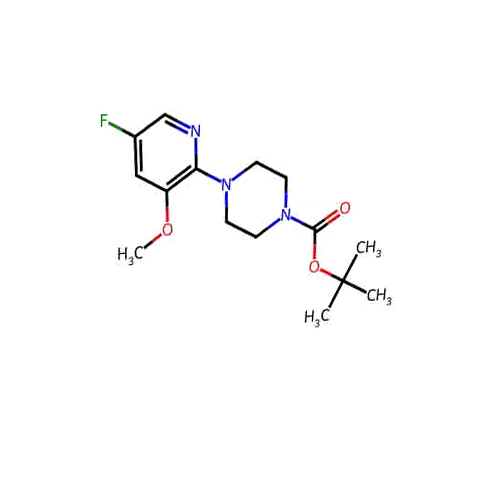 COc1cc(F)cnc1N1CCN(C(=O)OC(C)(C)C)CC1